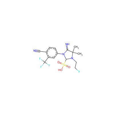 CC1(C)C(=N)N(c2ccc(C#N)c(C(F)(F)F)c2)C(S(=O)(=O)O)N1CCF